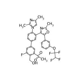 Cc1cn(-c2ccc(-c3cc(F)c(CO)c(S(C)(=O)=O)c3)cc2-c2nc(C)oc2-c2cccc(OC(F)(F)C(F)F)c2)c(C)n1